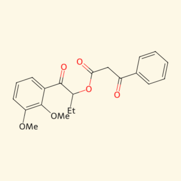 CCC(OC(=O)CC(=O)c1ccccc1)C(=O)c1cccc(OC)c1OC